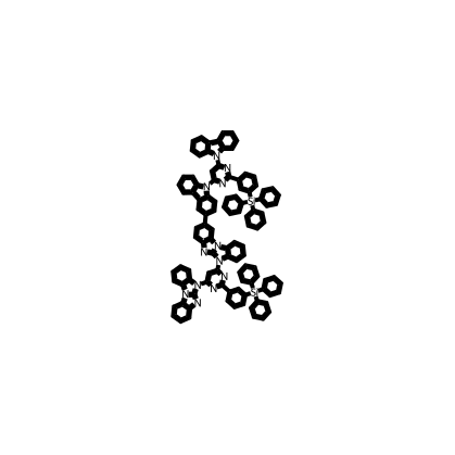 c1ccc([Si](c2ccccc2)(c2ccccc2)c2cccc(-c3nc(-n4c5ccccc5c5ccccc54)cc(-n4c5ccccc5c5cc(-c6ccc7nc8n(-c9cc(-n%10c%11ccccc%11n%11c%12ccccc%12nc%10%11)nc(-c%10cccc([Si](c%11ccccc%11)(c%11ccccc%11)c%11ccccc%11)c%10)n9)c9ccccc9n8c7c6)ccc54)n3)c2)cc1